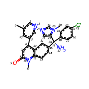 Cc1cncc(-c2cc(=O)n(C)c3ccc([C@](N)(c4ccc(Cl)cc4)c4cncn4C)cc23)c1